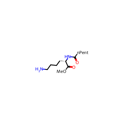 CCCCCC(=O)N[C@@H](CCCCN)C(=O)OC